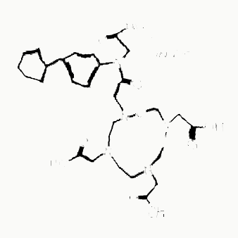 NC(=O)CN(C(=O)CN1CCN(CC(=O)O)CCN(CC(=O)O)CCN(CC(=O)O)CC1)c1ccc(C2CCCCC2)cc1.[Gd].[NaH]